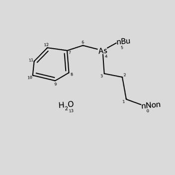 CCCCCCCCCCCC[As](CCCC)Cc1ccccc1.O